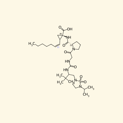 CCCCC/C=C\C1C[C@]1(NC(=O)[C@@H]1CCCN1C(=O)CNC(=O)NC(CN1CCN(C(C)C)S1(=O)=O)C(C)(C)C)C(=O)O